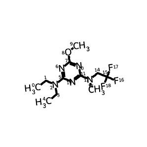 CCN(CC)c1nc(OC)nc(N(C)CC(F)(F)F)n1